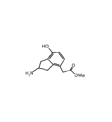 COC(=O)Cc1ccc(O)c2c1CC(N)C2